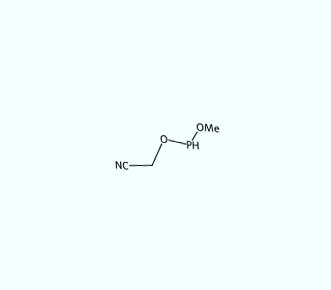 COPOCC#N